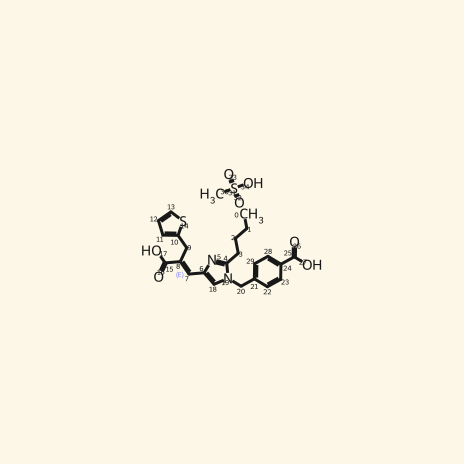 CCCCc1nc(/C=C(\Cc2cccs2)C(=O)O)cn1Cc1ccc(C(=O)O)cc1.CS(=O)(=O)O